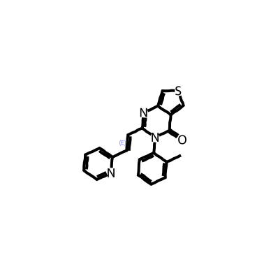 Cc1ccccc1-n1c(/C=C/c2ccccn2)nc2cscc2c1=O